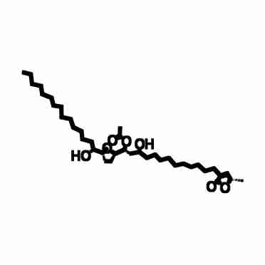 CCCCCCCCCCCCCC[C@H](O)[C@H]1CC[C@H]([C@@H](CC(O)CCCCCCCCCCC2=C[C@H](C)OC2=O)OC(C)=O)O1